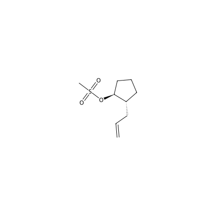 C=CC[C@H]1CCC[C@@H]1OS(C)(=O)=O